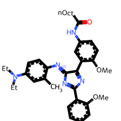 CCCCCCCCC(=O)Nc1ccc(OC)c(C2=NC(c3ccccc3OC)=N/C2=N\c2ccc(N(CC)CC)cc2C)c1